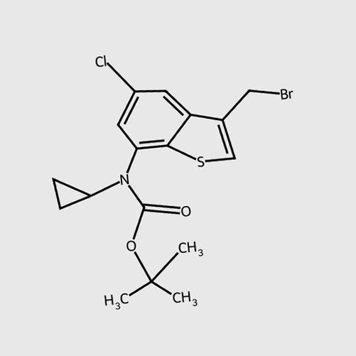 CC(C)(C)OC(=O)N(c1cc(Cl)cc2c(CBr)csc12)C1CC1